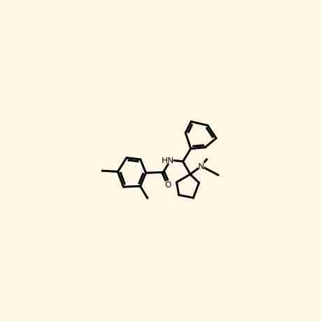 Cc1ccc(C(=O)NC(c2ccccc2)C2(N(C)C)CCCC2)c(C)c1